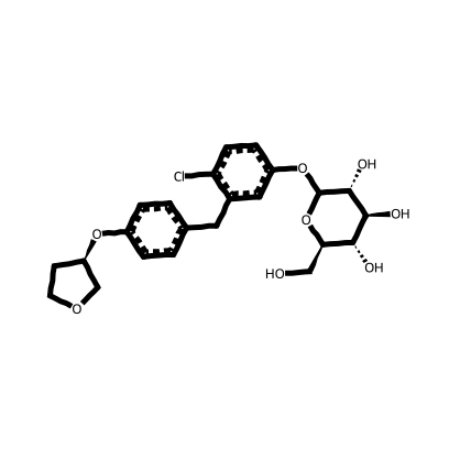 OC[C@H]1OC(Oc2ccc(Cl)c(Cc3ccc(O[C@@H]4CCOC4)cc3)c2)[C@H](O)[C@@H](O)[C@@H]1O